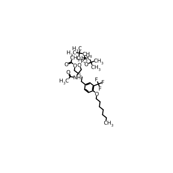 CCCCCCCOc1ccc(CC[C@](COC(C)=O)(COP(=O)(OC(C)(C)C)OC(C)(C)C)NC(C)=O)cc1C(F)(F)F